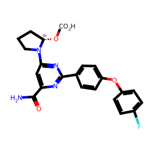 NC(=O)c1cc(N2CCC[C@@H]2OC(=O)O)nc(-c2ccc(Oc3ccc(F)cc3)cc2)n1